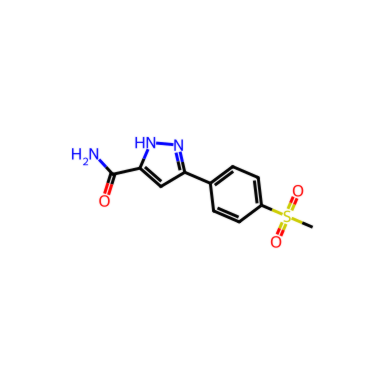 CS(=O)(=O)c1ccc(-c2cc(C(N)=O)[nH]n2)cc1